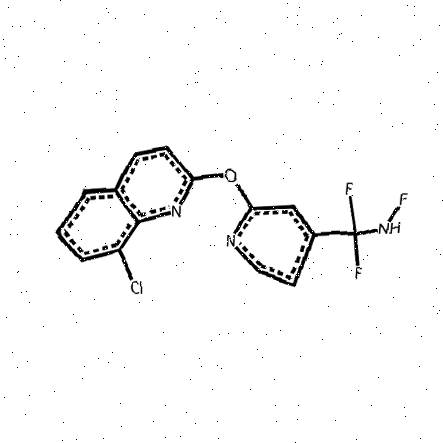 FNC(F)(F)c1ccnc(Oc2ccc3cccc(Cl)c3n2)c1